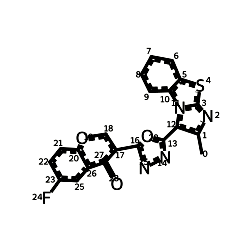 Cc1nc2sc3ccccc3n2c1-c1nnc(-c2coc3ccc(F)cc3c2=O)o1